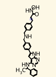 CC(Nc1ncnc2[nH]c(-c3ccc(CNCc4ccc(/C=C/C(=O)NO)cc4)cc3)cc12)c1ccccc1